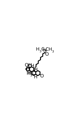 CN(C)C(=O)CCCCCCCC[C@H]1C[C@]2(C)[C@@H](O)CC[C@H]2[C@@H]2CC[C@H]3CC(=O)CC[C@]3(C)[C@@H]12